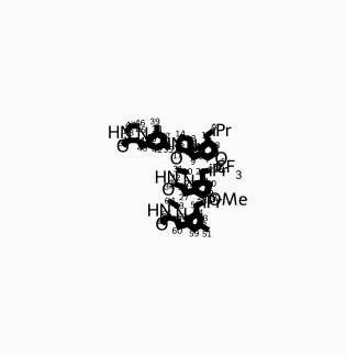 CC(C)Cc1cc(OC(F)(F)F)cc2cc3n(c12)CCNC3=O.COc1cc(CC(C)C)c2c(c1)cc1n2CCNC1=O.Cc1cc(C)c2c(c1)cc1n2CCNC1=O.Cc1cc(CC(C)C)c2c(c1)cc1n2CCNC1=O